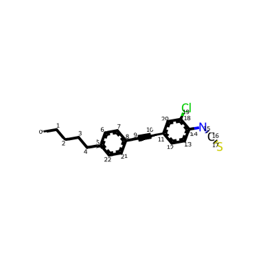 CCCCCc1ccc(C#Cc2ccc(N=C=S)c(Cl)c2)cc1